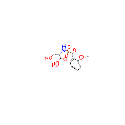 COc1ccccc1C(=O)S(=O)(=O)NC(CO)C(=O)O